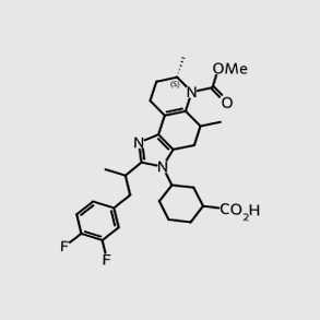 COC(=O)N1C2=C(CC[C@@H]1C)c1nc(C(C)Cc3ccc(F)c(F)c3)n(C3CCCC(C(=O)O)C3)c1CC2C